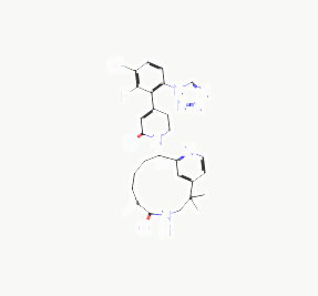 C[C@@H]1CCC[C@H](N2CCC(c3c(-n4cnnn4)ccc(Cl)c3F)=CC2=O)c2cc(ccn2)C(C)(C)CNC1=O